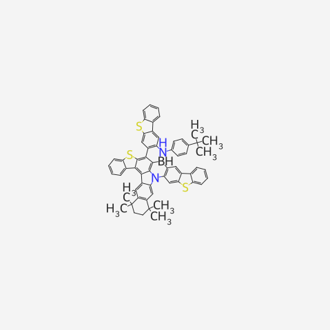 CC(C)(C)c1ccc(Nc2cc3c(cc2-c2c4c5c(c6cc7c(cc6n5-c5cc6sc8ccccc8c6cc5B4)C(C)(C)CCC7(C)C)c4c2sc2ccccc24)sc2ccccc23)cc1